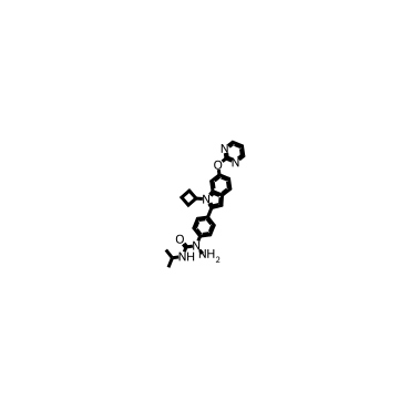 CC(C)NC(=O)N(N)c1ccc(-c2cc3ccc(Oc4ncccn4)cc3n2C2CCC2)cc1